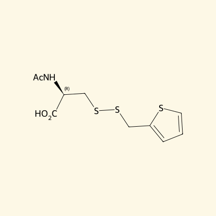 CC(=O)N[C@@H](CSSCc1cccs1)C(=O)O